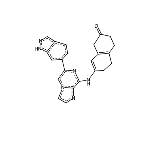 O=C1CCC2=C(C=C(Nc3nc(-c4ccc5cn[nH]c5c4)cn4ccnc34)CC2)C1